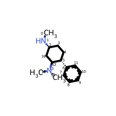 CN[C@H]1CC[C@H](c2ccccc2)C(N(C)C)C1